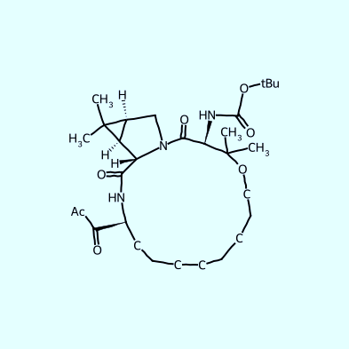 CC(=O)C(=O)[C@@H]1CCCCCCCCOC(C)(C)[C@H](NC(=O)OC(C)(C)C)C(=O)N2C[C@H]3[C@@H]([C@H]2C(=O)N1)C3(C)C